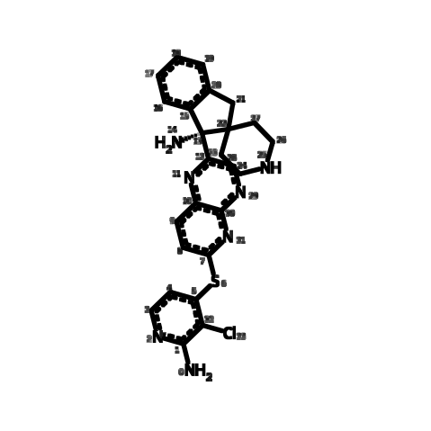 Nc1nccc(Sc2ccc3nc([C@@]4(N)c5ccccc5CC45CCNCC5)cnc3n2)c1Cl